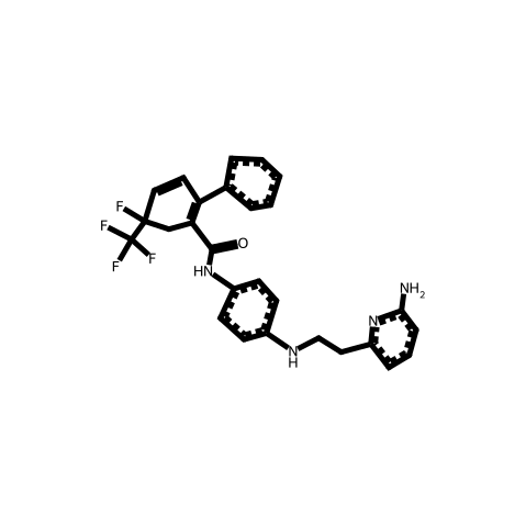 Nc1cccc(CCNc2ccc(NC(=O)C3=C(c4ccccc4)C=CC(F)(C(F)(F)F)C3)cc2)n1